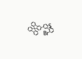 Brc1cccc2sc3ccc(-c4ccc5c(c4)-c4ccccc4C54c5ccccc5-c5ccccc54)cc3c12